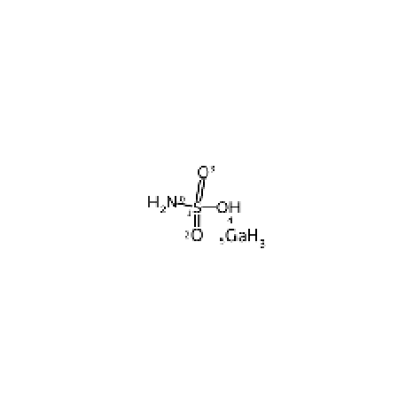 NS(=O)(=O)O.[GaH3]